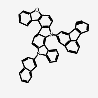 c1ccc2c(c#1)-c1cc(-n3c4ccc5oc6ccccc6c5c4c4ccc5c(c6ccccc6n5-c5ccc6ccccc6c5)c43)cc3cccc-2c13